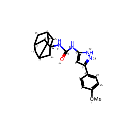 COc1ccc(-c2cc(NC(=O)NC34CC5CC(CC(C5)C3)C4)[nH]n2)cc1